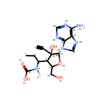 C#C[C@@]1(O)C(C(CC)N(F)C(=O)O)C(CO)O[C@H]1n1cnc2c(N)ncnc21